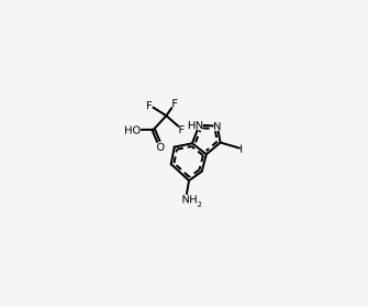 Nc1ccc2[nH]nc(I)c2c1.O=C(O)C(F)(F)F